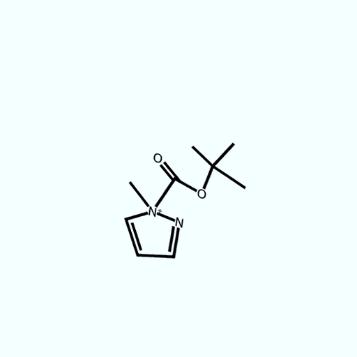 CC(C)(C)OC(=O)[N+]1(C)C=CC=N1